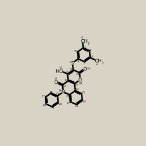 Cc1cc(C)cc(Sc2c(O)c3c(=O)n(-c4ccccc4)c4ccccc4c3oc2=O)c1